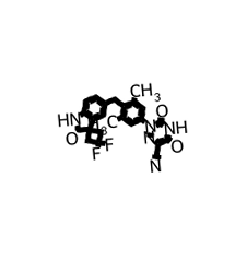 Cc1cc(-n2nc(C#N)c(=O)[nH]c2=O)cc(C)c1Cc1ccc2c(c1)C1(CC(F)(F)C1)C(=O)N2